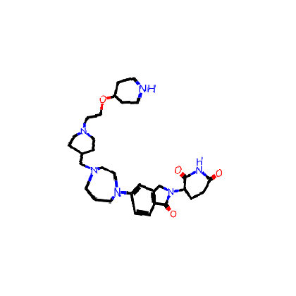 O=C1CCC(N2Cc3cc(N4CCCN(CC5CCN(CCOC6CCNCC6)CC5)CC4)ccc3C2=O)C(=O)N1